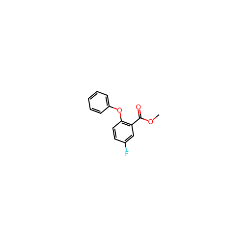 COC(=O)c1cc(F)ccc1Oc1ccccc1